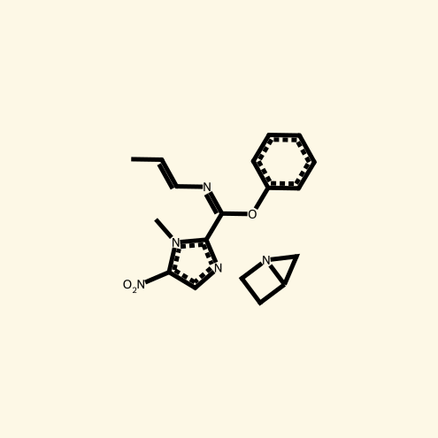 C1CN2CC12.CC=CN=C(Oc1ccccc1)c1ncc([N+](=O)[O-])n1C